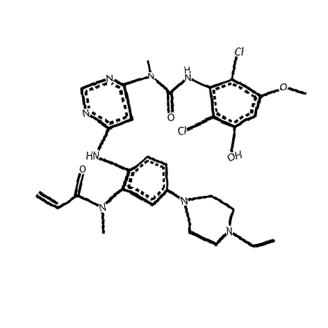 C=CC(=O)N(C)c1cc(N2CCN(CC)CC2)ccc1Nc1cc(N(C)C(=O)Nc2c(Cl)c(O)cc(OC)c2Cl)ncn1